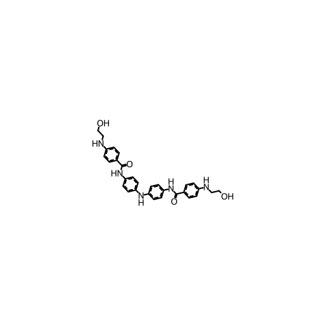 O=C(Nc1ccc(Nc2ccc(NC(=O)c3ccc(NCCO)cc3)cc2)cc1)c1ccc(NCCO)cc1